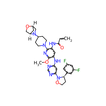 C=CC(=O)Nc1cc(Nc2cc(N3OCC[C@@H]3c3cc(F)cc(F)c3)ncn2)c(OC)nc1N1CCC(N2C[C@H]3C[C@@H]2CO3)CC1